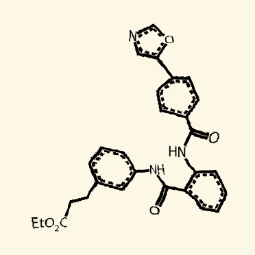 CCOC(=O)CCc1cccc(NC(=O)c2ccccc2NC(=O)c2ccc(-c3cnco3)cc2)c1